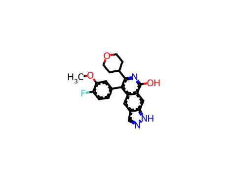 COc1cc(-c2c(C3CCOCC3)nc(O)c3cc4[nH]ncc4cc23)ccc1F